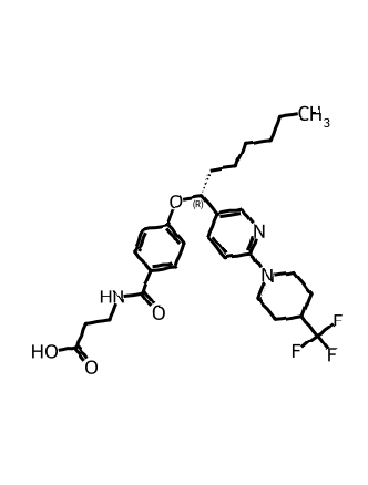 CCCCCC[C@@H](Oc1ccc(C(=O)NCCC(=O)O)cc1)c1ccc(N2CCC(C(F)(F)F)CC2)nc1